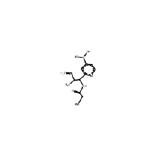 C=CC(C)C(NC(=O)CC(C)(C)C)c1cc(B(O)O)ccn1